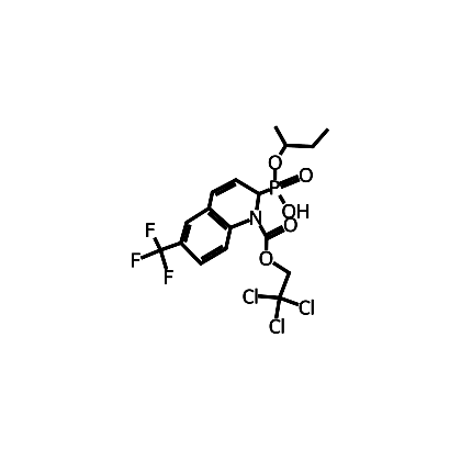 CCC(C)OP(=O)(O)C1C=Cc2cc(C(F)(F)F)ccc2N1C(=O)OCC(Cl)(Cl)Cl